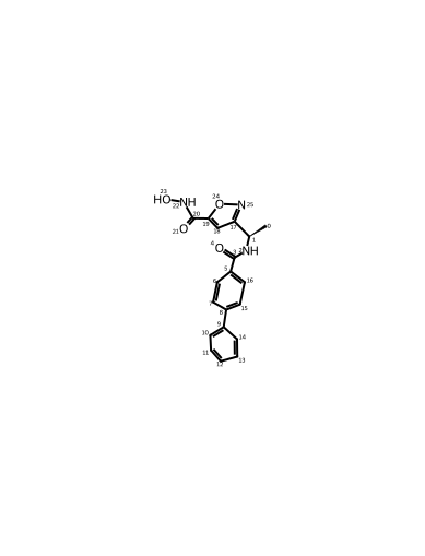 C[C@@H](NC(=O)c1ccc(-c2ccccc2)cc1)c1cc(C(=O)NO)on1